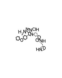 Cl.Nc1ncnc2c1c(-c1ccc(Oc3ccccc3)cc1)cn2C1CCC(OC(=O)NCCC2CNCCO2)C1